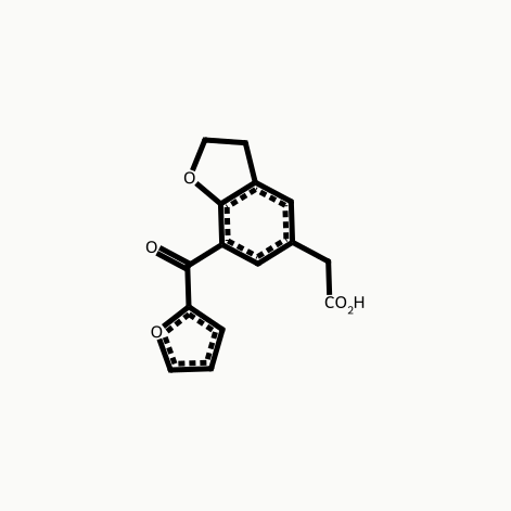 O=C(O)Cc1cc2c(c(C(=O)c3ccco3)c1)OCC2